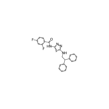 O=C(Nc1nnc(NCC(c2ccccc2)c2ccccc2)s1)c1ccc(F)cc1F